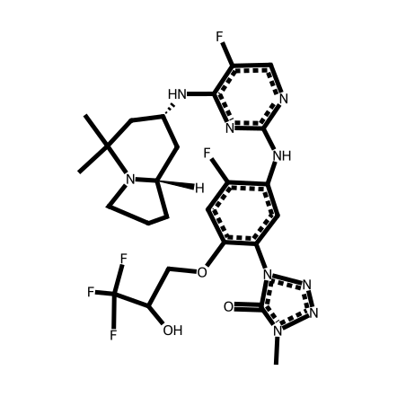 Cn1nnn(-c2cc(Nc3ncc(F)c(N[C@@H]4C[C@@H]5CCCN5C(C)(C)C4)n3)c(F)cc2OCC(O)C(F)(F)F)c1=O